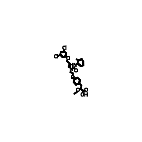 CCOC(Cc1ccc(OCCN(CCCOc2cc(Cl)cc(Cl)c2)C(=O)Nc2ccccc2C)cc1)C(=O)O